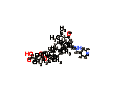 CC(C)C1=C2[C@H]3CC[C@@H]4[C@@]5(C)CC[C@H](OC(=O)CC(C)(C)C(=O)O)C(C)(C)[C@@H]5CC[C@@]4(C)[C@]3(C)CC[C@@]2(CCNCc2ccncc2)CC1=O